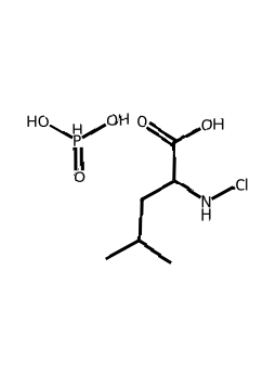 CC(C)CC(NCl)C(=O)O.O=[PH](O)O